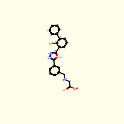 O=C(O)CNCc1cccc(-c2nnc(-c3cccc(-c4ccccc4)c3Cl)o2)c1